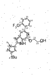 Cn1nc(C(C)(C)C)cc1-c1nc2cc(-c3ccccc3C(F)(F)F)nc(OCCO)c2[nH]1